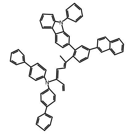 C=C/C(=C\C=C(/C)c1ccc(-c2ccc3ccccc3c2)cc1-c1ccc2c3ccccc3n(-c3ccccc3)c2c1)N(c1ccc(-c2ccccc2)cc1)c1ccc(-c2ccccc2)cc1